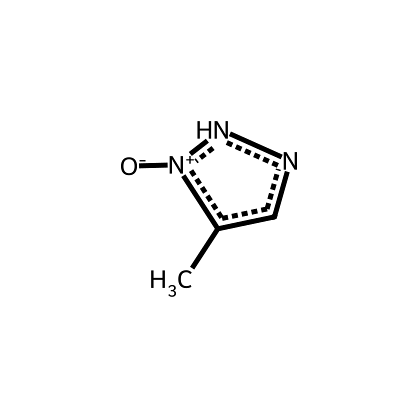 Cc1cn[nH][n+]1[O-]